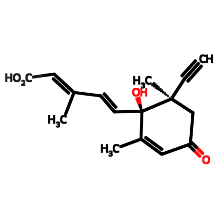 C#C[C@@]1(C)CC(=O)C=C(C)[C@]1(O)/C=C/C(C)=C/C(=O)O